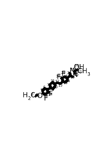 C=CCOc1ccc(-c2ccc(CCc3ccc(-c4cnc(C(C)O)nc4)c(F)c3F)cc2)c(F)c1F